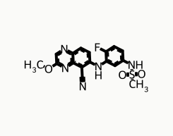 COc1cnc2ccc(Nc3cc(NS(C)(=O)=O)ccc3F)c(C#N)c2n1